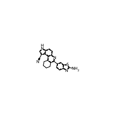 N#Cc1c[nH]c2ccc3nc(-c4ccc5nc(N)sc5c4)c4c(c3c12)CCCC4